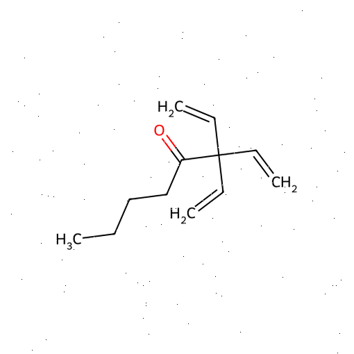 C=CC(C=C)(C=C)C(=O)CCCC